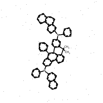 CC1(C)c2cc(N(c3ccccc3)c3ccc4c(ccc5ccccc54)c3)ccc2-c2c(-c3ccccc3)c3ccc(N(c4ccccc4)c4ccc5ccccc5c4)cc3c3cccc1c23